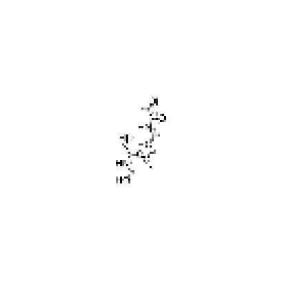 COC.O=C(CO)NCO.O=C(CO)NCO